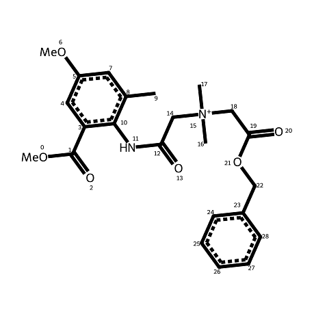 COC(=O)c1cc(OC)cc(C)c1NC(=O)C[N+](C)(C)CC(=O)OCc1ccccc1